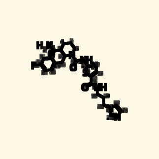 NC(=O)C1CCCN(C(=O)Nc2ncc(C(=O)NCCCn3ccnc3)s2)C1Cc1ccc(F)cc1